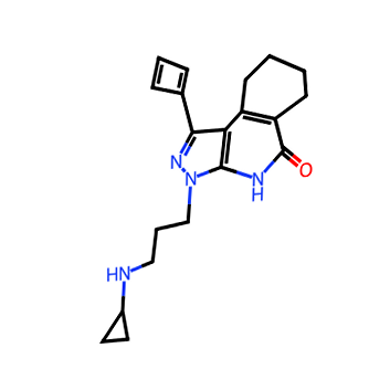 O=c1[nH]c2c(c(C3=CC=C3)nn2CCCNC2CC2)c2c1CCCC2